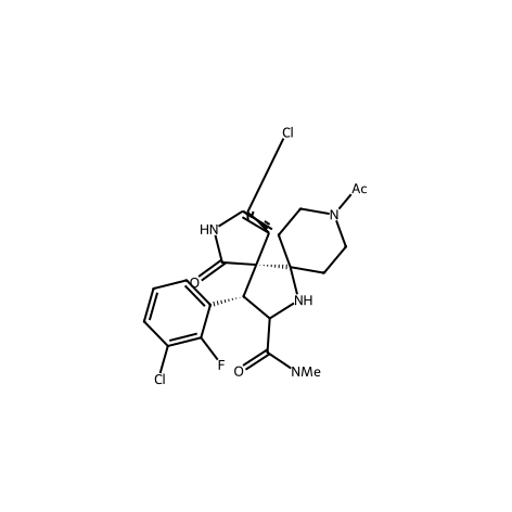 CNC(=O)C1NC2(CCN(C(C)=O)CC2)[C@@]2(C(=O)Nc3cc(Cl)ccc32)[C@H]1c1cccc(Cl)c1F